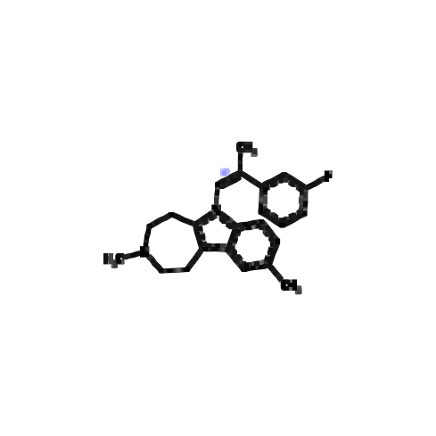 C/C(=C/n1c2c(c3cc(C)ccc31)CCN(C)CC2)c1cccc(F)c1